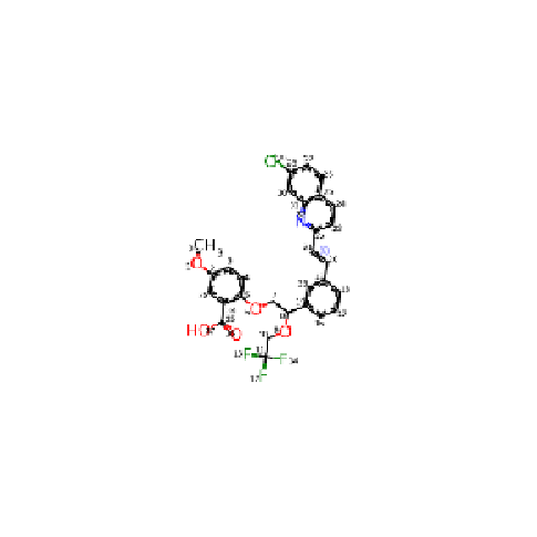 COc1ccc(OCC(OCC(F)(F)F)c2cccc(/C=C/c3ccc4ccc(Cl)cc4n3)c2)c(C(=O)O)c1